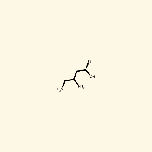 CC[C@@H](O)CC(N)CN